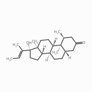 CC=C(C)[C@]1(O)CC[C@H]2[C@@H]3CC[C@H]4CC(=O)C[C@H](C)[C@]4(C)[C@H]3CC[C@@]21C